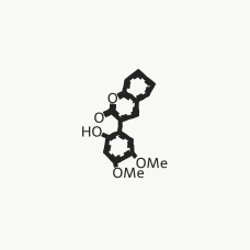 COc1cc(O)c(-c2cc3ccccc3oc2=O)cc1OC